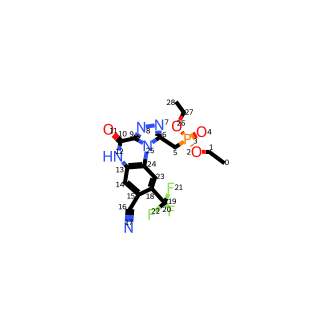 CCOP(=O)(Cc1nnc2c(=O)[nH]c3cc(C#N)c(C(F)(F)F)cc3n12)OCC